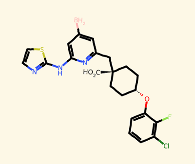 Bc1cc(C[C@]2(C(=O)O)CC[C@H](Oc3cccc(Cl)c3F)CC2)nc(Nc2nccs2)c1